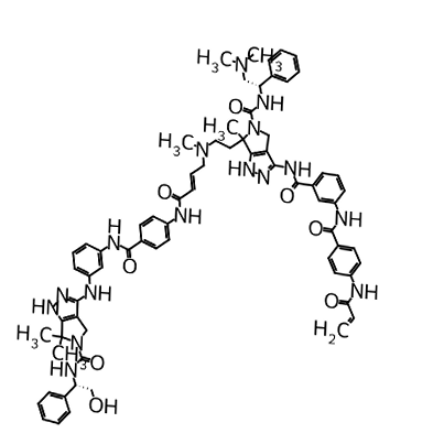 C=CC(=O)Nc1ccc(C(=O)Nc2cccc(C(=O)Nc3n[nH]c4c3CN(C(=O)N[C@H](CN(C)C)c3ccccc3)C4(C)CCN(C)C/C=C/C(=O)Nc3ccc(C(=O)Nc4cccc(Nc5n[nH]c6c5CN(C(=O)N[C@H](CO)c5ccccc5)C6(C)C)c4)cc3)c2)cc1